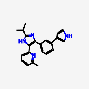 Cc1cccc(-c2[nH]c(C(C)C)nc2-c2cccc(-c3cc[nH]c3)c2)n1